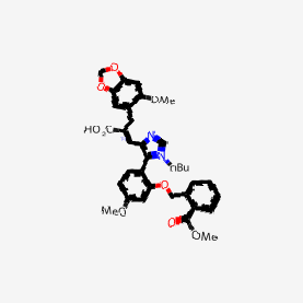 CCCCn1cnc(/C=C(\Cc2cc3c(cc2OC)OCO3)C(=O)O)c1-c1ccc(OC)cc1OCc1ccccc1C(=O)OC